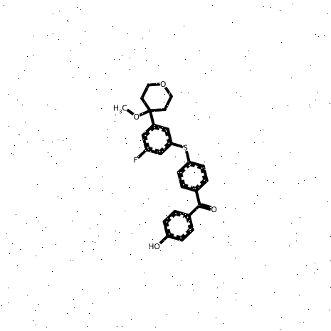 COC1(c2cc(F)cc(Sc3ccc(C(=O)c4ccc(O)cc4)cc3)c2)CCOCC1